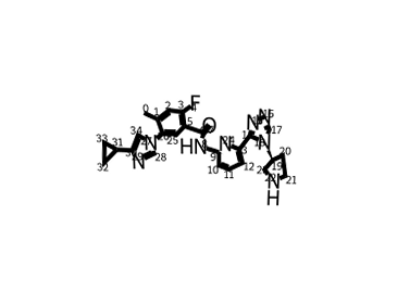 Cc1cc(F)c(C(=O)Nc2cccc(-c3nncn3[C@H]3CCNC3)n2)cc1-n1cnc(C2CC2)c1